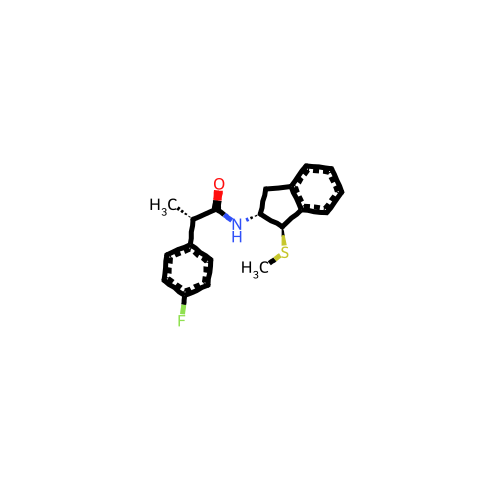 CS[C@@H]1c2ccccc2C[C@H]1NC(=O)[C@@H](C)c1ccc(F)cc1